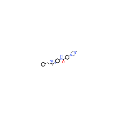 CN1CCN(c2ccc(C(=O)Nc3ccc([C@@H]4C[C@@]4(N)CCc4ccccc4)cc3)cc2)CC1